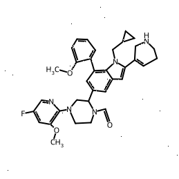 COc1ccccc1-c1cc(C2CN(c3ncc(F)cc3OC)CCN2C=O)cc2cc(C3=CCCNC3)n(CC3CC3)c12